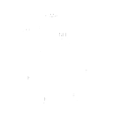 COC(=O)C(N)Cc1c(F)c(F)c(F)c(F)c1F